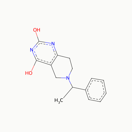 CC(c1ccccc1)N1CCc2nc(O)nc(O)c2C1